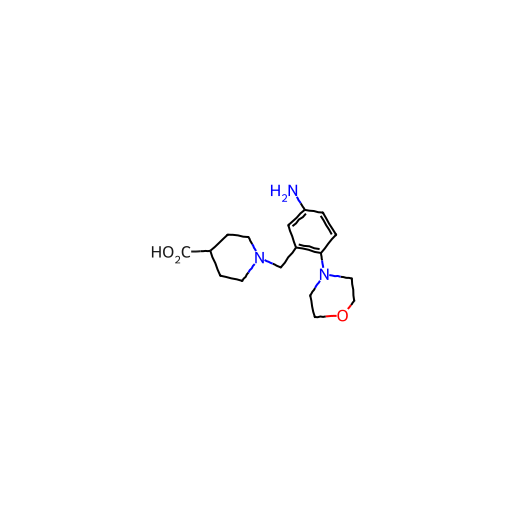 Nc1ccc(N2CCOCC2)c(CN2CCC(C(=O)O)CC2)c1